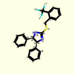 FC(F)(F)c1ccccc1CSC1=N[C@@H](c2ccccc2)[C@@H](c2ccccc2)N1